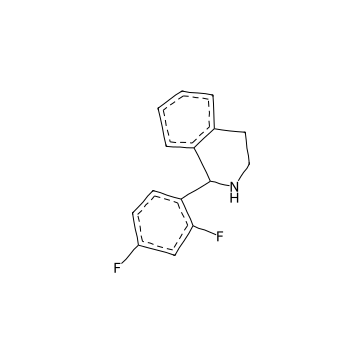 Fc1ccc(C2NCCc3ccccc32)c(F)c1